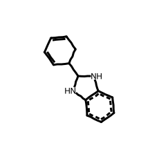 C1=CCC(C2Nc3ccccc3N2)C=C1